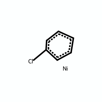 Clc1ccccc1.[Ni]